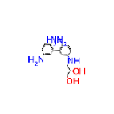 Nc1ccc(N)c(-c2cc(NCC(O)CO)ccc2N)c1